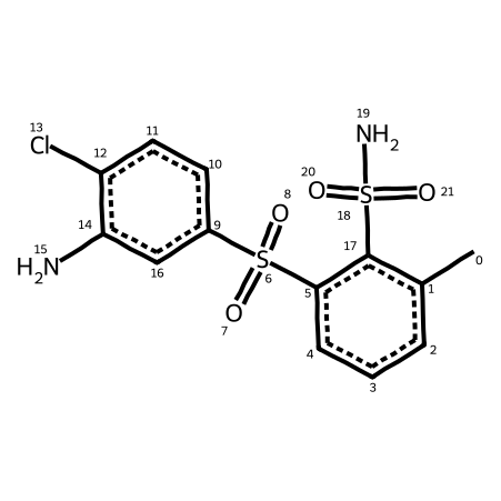 Cc1cccc(S(=O)(=O)c2ccc(Cl)c(N)c2)c1S(N)(=O)=O